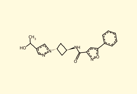 CC(O)c1cnn([C@H]2C[C@H](NC(=O)c3cc(-c4ccccc4)on3)C2)c1